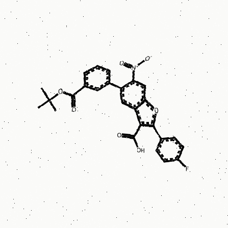 CC(C)(C)OC(=O)c1cccc(-c2cc3c(C(=O)O)c(-c4ccc(F)cc4)oc3cc2[N+](=O)[O-])c1